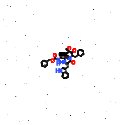 CC(NC(=O)OCc1ccccc1)C(=O)N[C@@H](Cc1c[nH]c2ccccc12)C(=O)NC(Cc1ccccc1)C(=O)C1(C)CO1